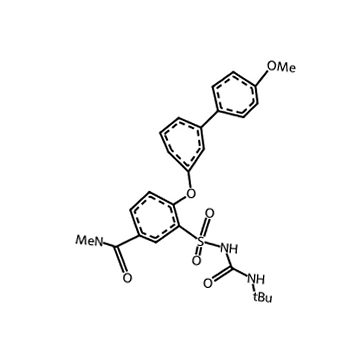 CNC(=O)c1ccc(Oc2cccc(-c3ccc(OC)cc3)c2)c(S(=O)(=O)NC(=O)NC(C)(C)C)c1